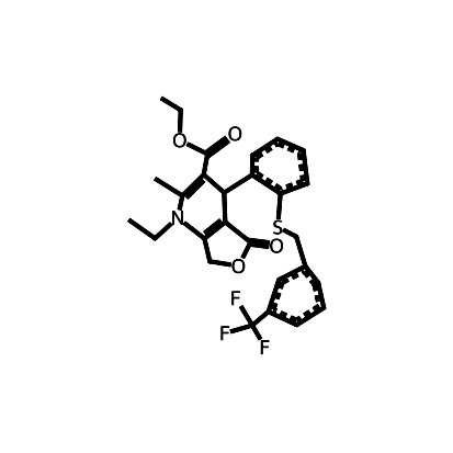 CCOC(=O)C1=C(C)N(CC)C2=C(C(=O)OC2)C1c1ccccc1SCc1cccc(C(F)(F)F)c1